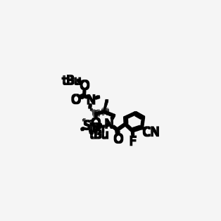 CC(C)N(C[C@H](C)[C@@H](CN(C)C(=O)OC(C)(C)C)O[Si](C)(C)C(C)(C)C)C(=O)c1cccc(C#N)c1F